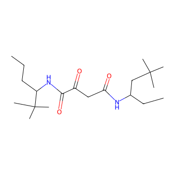 CCCC(NC(=O)C(=O)CC(=O)NC(CC)CC(C)(C)C)C(C)(C)C